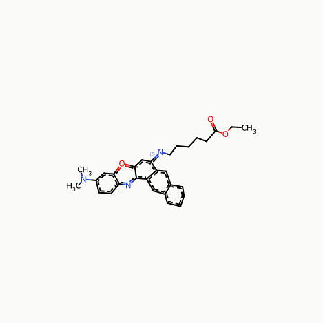 CCOC(=O)CCCCC/N=c1/cc2oc3cc(N(C)C)ccc3nc-2c2cc3ccccc3cc12